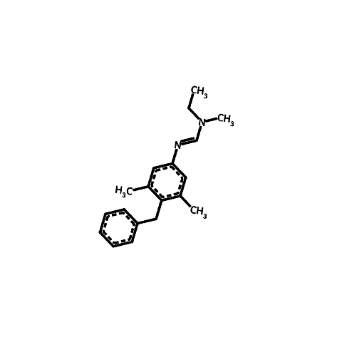 CCN(C)C=Nc1cc(C)c(Cc2ccccc2)c(C)c1